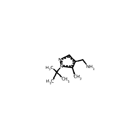 Cc1c(CN)cnn1C(C)(C)C